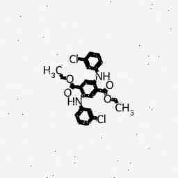 CCOC(=O)C1=CC(Nc2cccc(Cl)c2)C(C(=O)OCC)C=C1Nc1cccc(Cl)c1